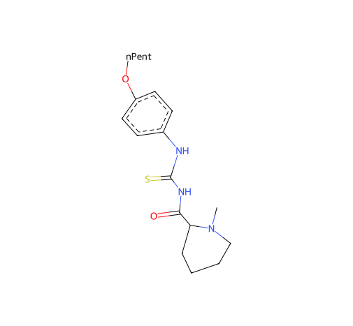 CCCCCOc1ccc(NC(=S)NC(=O)C2CCCCN2C)cc1